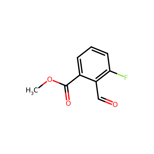 COC(=O)c1cccc(F)c1C=O